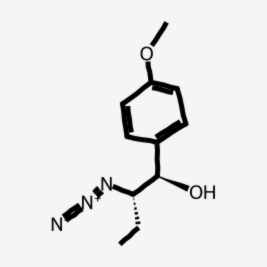 CC[C@H](N=[N+]=[N-])[C@H](O)c1ccc(OC)cc1